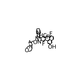 C#Cc1c(F)ccc2cc(O)cc(-c3c(C(C)C)cc4c(N5CC6CCC(C5)N6)nc(OCC5(CN6CCCOCC6)CC5)nc4c3F)c12